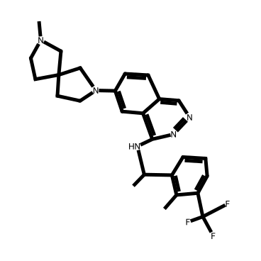 Cc1c(C(C)Nc2nncc3ccc(N4CCC5(CCN(C)C5)C4)cc23)cccc1C(F)(F)F